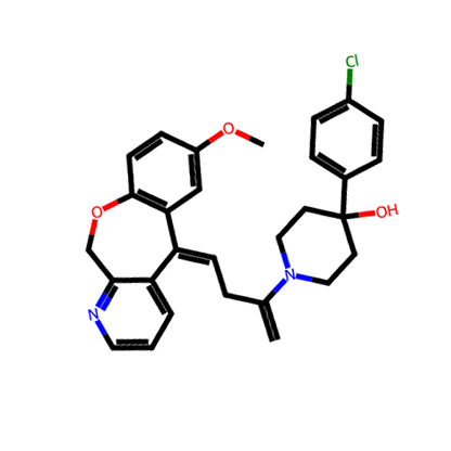 C=C(CC=C1c2cc(OC)ccc2OCc2ncccc21)N1CCC(O)(c2ccc(Cl)cc2)CC1